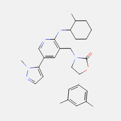 CCC1CCCCC1Nc1ncc(-c2ccnn2C)cc1CN1C(=O)O[C@H](c2cc(C(F)(F)F)cc(C(F)(F)F)c2)[C@@H]1C